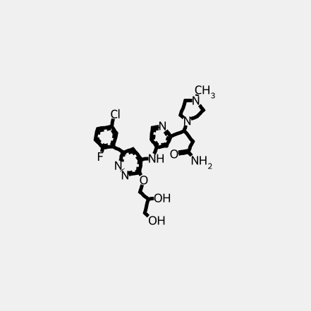 CN1CCN(C(CC(N)=O)c2cc(Nc3cc(-c4cc(Cl)ccc4F)nnc3OCC(O)CO)ccn2)CC1